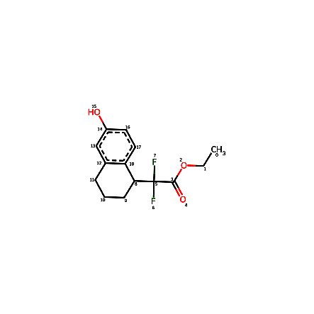 CCOC(=O)C(F)(F)C1CCCc2cc(O)ccc21